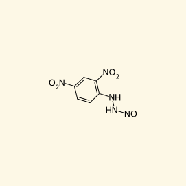 O=NNNc1ccc([N+](=O)[O-])cc1[N+](=O)[O-]